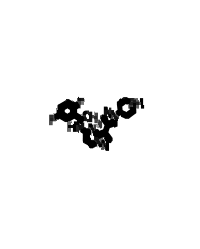 CC(Nc1ccn2ncc(-c3cnn(C4CCBCC4)c3)c2n1)c1cc(F)ccc1F